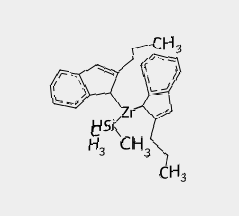 CCCC1=Cc2ccccc2[CH]1[Zr]([CH]1C(CCC)=Cc2ccccc21)[SiH](C)C